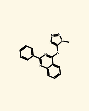 Cn1nnnc1Sc1nc(-c2ccccc2)nc2ccccc12